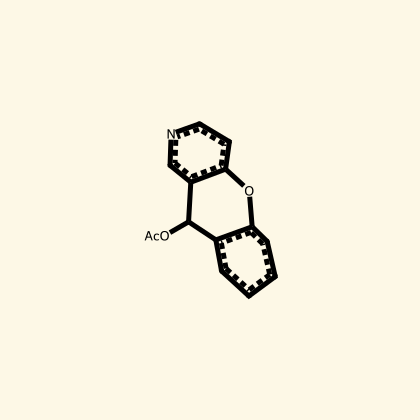 CC(=O)OC1c2ccccc2Oc2ccncc21